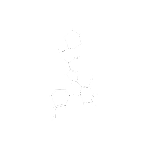 O=C(N[C@H]1CCCC[C@@H]1O)C1=NN(c2ccc(Cl)cc2Cl)[C@H](c2ccc(Cl)cc2)C1